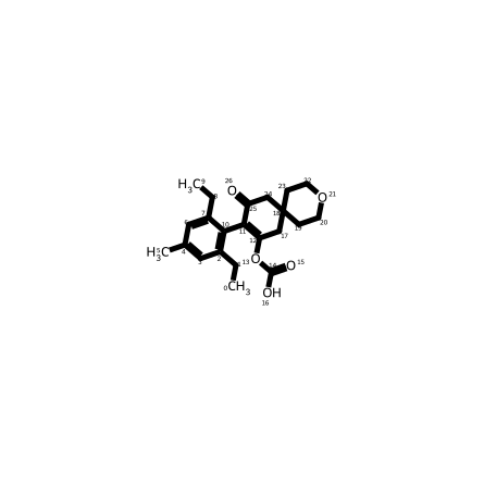 CCc1cc(C)cc(CC)c1C1=C(OC(=O)O)CC2(CCOCC2)CC1=O